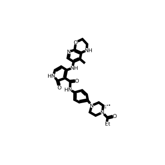 CCC(=O)N1CCN(c2ccc(NC(=O)c3c(Nc4cnc5c(c4C)NCCO5)cc[nH]c3=O)cc2)C[C@@H]1C